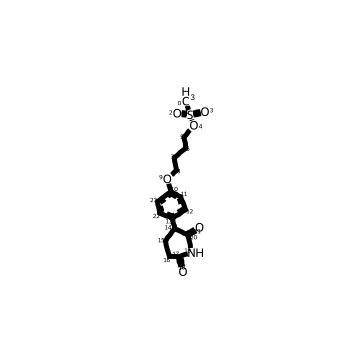 CS(=O)(=O)OCCCCOc1ccc(C2CCC(=O)NC2=O)cc1